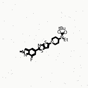 CCN(C(=O)OC(C)(C)C)C1CCN(c2cc3sc(-c4cc(F)c5nn(C)cc5c4)nc3s2)CC1